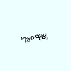 CCc1c(-c2ccc(OC)c(OC)c2)[nH]c2ccc(C3CCN(C(=O)CNCC#N)CC3)cc12